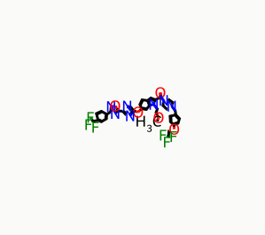 COCCn1c(C(=O)N2CCN(Cc3ccc(OCC(F)(F)F)cc3)CC2)cc2ccc(Oc3cnc(-c4nc(-c5ccc(C(F)(F)F)cc5)no4)cn3)cc21